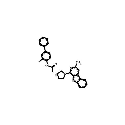 Cc1nc(N2CC[C@H](CC(=O)Nc3ccc(-c4ccccc4)cc3F)C2)c2oc3ccccc3c2n1